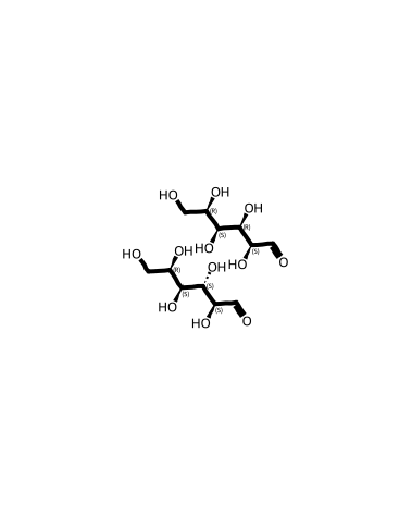 O=C[C@@H](O)[C@@H](O)[C@@H](O)[C@H](O)CO.O=C[C@@H](O)[C@H](O)[C@@H](O)[C@H](O)CO